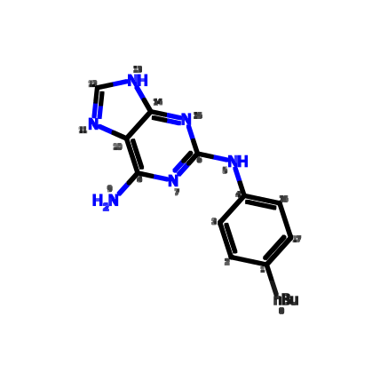 CCCCc1ccc(Nc2nc(N)c3nc[nH]c3n2)cc1